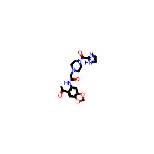 CC(=O)c1cc2c(cc1NC(=O)CN1CCN(C(=O)c3ncc[nH]3)CC1)OCO2